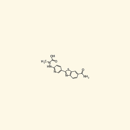 CN(Nc1ccc(-c2nc3ccc(C(N)=O)cc3s2)cn1)C(=O)O